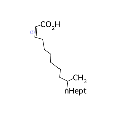 CCCCCCCC(C)CCCCCC/C=C\C(=O)O